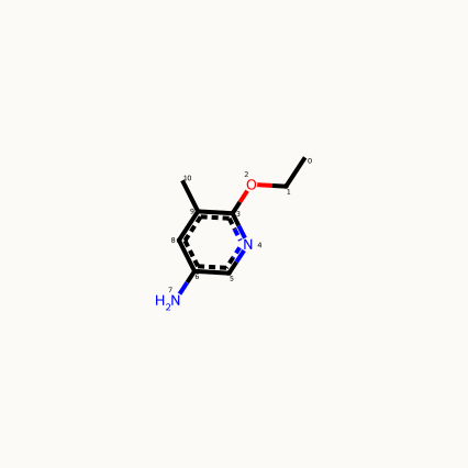 CCOc1ncc(N)cc1C